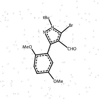 COc1ccc(OC)c(-c2nn(C(C)(C)C)c(Br)c2C=O)c1